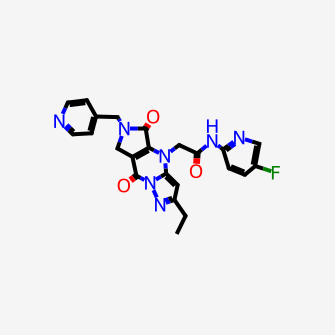 CCc1cc2n(CC(=O)Nc3ccc(F)cn3)c3c(c(=O)n2n1)CN(Cc1ccncc1)C3=O